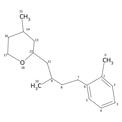 Cc1ccccc1CCC(C)CC1CC(C)CCO1